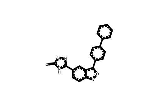 O=c1[nH]c(-c2ccc3noc(-c4ccc(-c5ccccc5)cc4)c3c2)no1